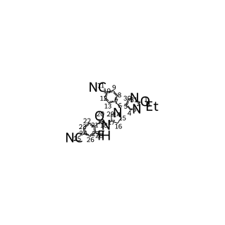 CCOc1ncc([C@@H](c2ccc(C#N)cc2)N2CCC(NC(=O)c3ccc(C#N)cc3F)C2)cn1